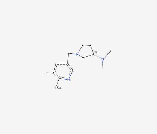 Cc1cc(CN2CC[C@H](N(C)C)C2)cnc1C(C)(C)C